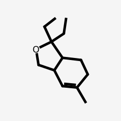 CCC1(CC)OCC2C=C(C)CCC21